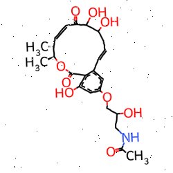 CC(=O)NCC(O)COc1cc(O)c2c(c1)/C=C/CC(O)C(O)C(=O)/C=C\[C@@H](C)[C@H](C)OC2=O